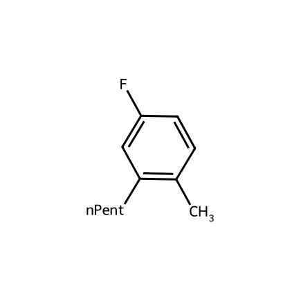 CC[CH]CCc1cc(F)ccc1C